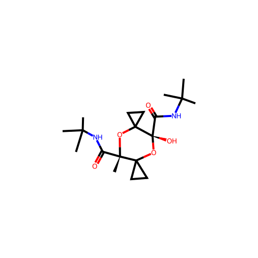 CC(C)(C)NC(=O)[C@]1(C)OC2(CC2)[C@](O)(C(=O)NC(C)(C)C)OC12CC2